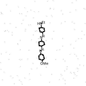 CCNc1ccc(N=Nc2ccc(N=Nc3ccc(OC)cc3)cc2)cc1